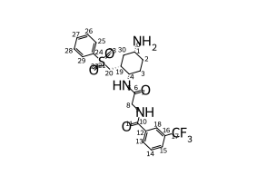 N[C@@H]1CC[C@H](NC(=O)CNC(=O)c2cccc(C(F)(F)F)c2)[C@H](CS(=O)(=O)c2ccccc2)C1